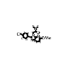 COc1ccc2nc(-c3ccc(Cl)cc3)n(CC(=O)N(C)C)c2n1